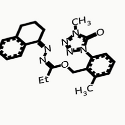 CC/C(=N/N=C1/CCCc2ccccc21)OCc1c(C)cccc1-n1nnn(C)c1=O